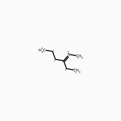 [CH2]CCC(CC)=NC